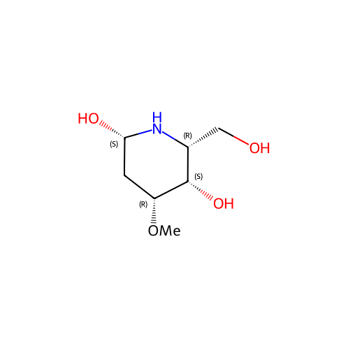 CO[C@@H]1C[C@H](O)N[C@H](CO)[C@@H]1O